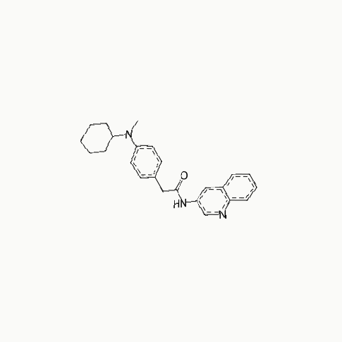 CN(c1ccc(CC(=O)Nc2cnc3ccccc3c2)cc1)C1CCCCC1